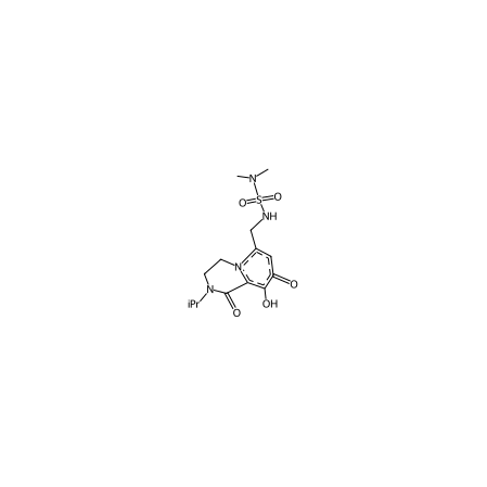 CC(C)N1CCn2c(CNS(=O)(=O)N(C)C)cc(=O)c(O)c2C1=O